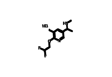 CNC(C)c1cnc(OCC(F)F)c(C)c1.Cl